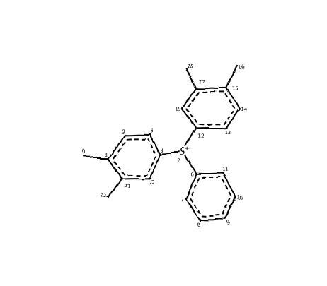 Cc1ccc([S+](c2ccccc2)c2ccc(C)c(C)c2)cc1C